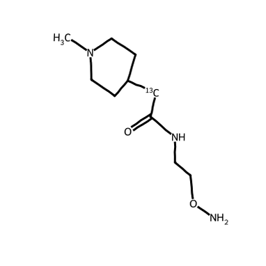 CN1CCC([13CH2]C(=O)NCCON)CC1